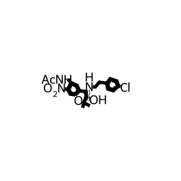 CC(=O)Nc1cc2c(cc1[N+](=O)[O-])OC(C)(C)[C@@H](O)[C@@H]2NCCc1ccc(Cl)cc1